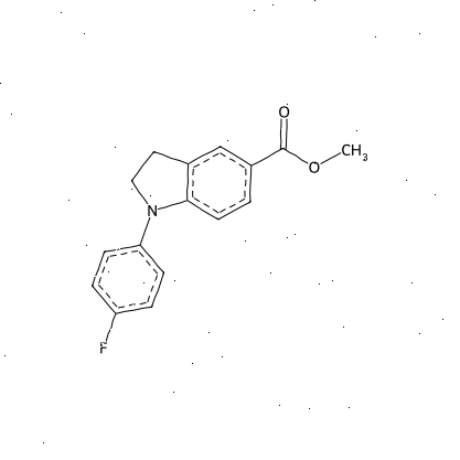 COC(=O)c1ccc2c(c1)CCN2c1ccc(F)cc1